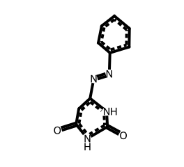 O=c1cc(N=Nc2ccccc2)[nH]c(=O)[nH]1